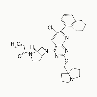 C=CC(=O)N1CCC2[C@H]1CN2c1nc(OCC23CCCN2CCC3)nc2nc(-c3cccc4c3CCCC4)c(Cl)cc12